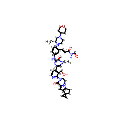 C[C@H]1CN(C2CCOCC2)CCN1c1ccc(Nc2nc(-c3ccnc(N4CCn5c(cc6c5CCC65CC5)C4=O)c3CO)cn(C)c2=O)cc1C=CC(=O)NC=O